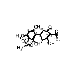 CCC(=O)C1=C(O)CC(c2c(C)cc(C)c(S(C)(=O)=O)c2C)CC1=O